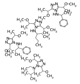 CCC(Nn1c(C(C)OC)nnc1C(C)OC)c1ccccc1.CCCC(CC)Nn1c(C(C)OC)nnc1C(C)OC.CCN(CC(C)C)n1c(C(C)OC)nnc1C(C)OC.COC(C)c1nnc(C(C)OC)n1NC(C)c1ccccc1